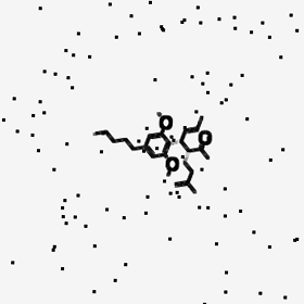 C=C(C)CC[C@@H](C(C)=O)[C@@H](/C=C/C)c1c(OC)cc(CCCCC)cc1OC